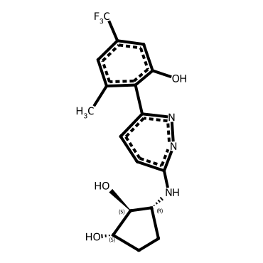 Cc1cc(C(F)(F)F)cc(O)c1-c1ccc(N[C@@H]2CC[C@H](O)[C@H]2O)nn1